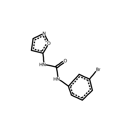 O=C(Nc1cccc(Br)c1)Nc1ccno1